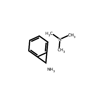 CN(C)C.N.c1ccc2c(c1)C2